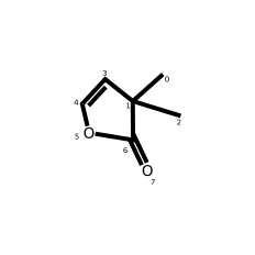 CC1(C)C=COC1=O